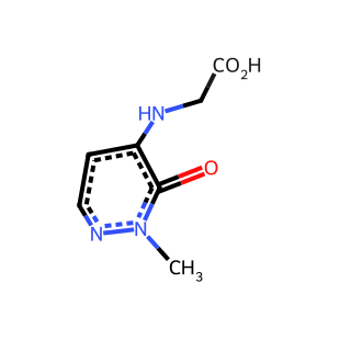 Cn1nccc(NCC(=O)O)c1=O